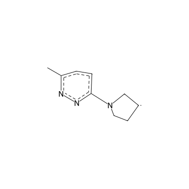 Cc1ccc(N2C[CH]CC2)nn1